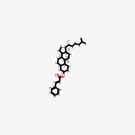 CC(C)CCC[C@@H](C)[C@H]1CCC2C3CCC4CC(OC(=O)C=Cc5ccccc5)CC[C@]4(C)C3CC[C@@]21C